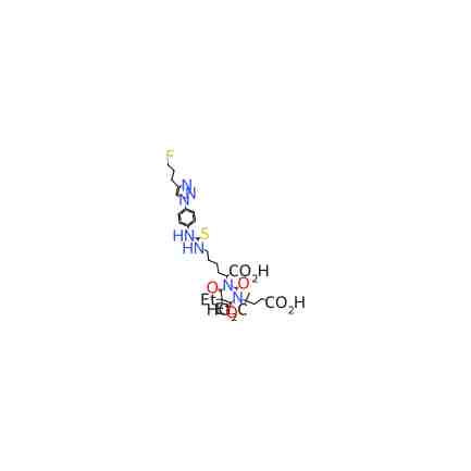 CCC1(CC)C(=O)N([C@@H](CCCCNC(=S)Nc2ccc(-n3cc(CCCF)nn3)cc2)C(=O)O)C(=O)N(C(C)(CCC(=O)O)C(=O)O)C1=O